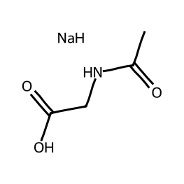 CC(=O)NCC(=O)O.[NaH]